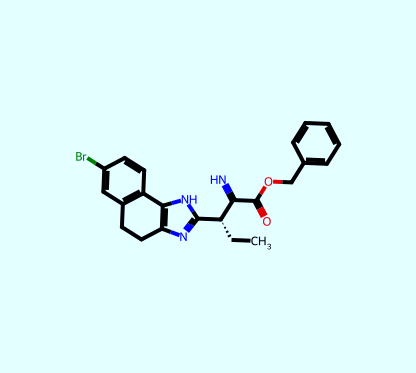 CC[C@@H](C(=N)C(=O)OCc1ccccc1)c1nc2c([nH]1)-c1ccc(Br)cc1CC2